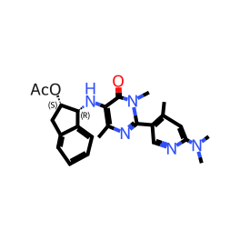 CC(=O)O[C@H]1Cc2ccccc2[C@H]1Nc1c(C)nc(-c2cnc(N(C)C)cc2C)n(C)c1=O